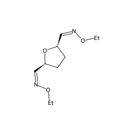 CCO/N=C\[C@@H]1CC[C@H](/C=N\OCC)O1